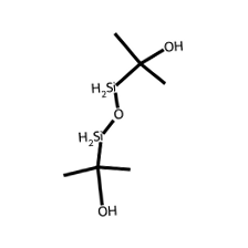 CC(C)(O)[SiH2]O[SiH2]C(C)(C)O